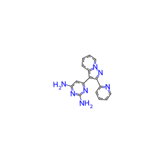 Nc1cc(-c2c(-c3ccccn3)nn3ccccc23)nc(N)n1